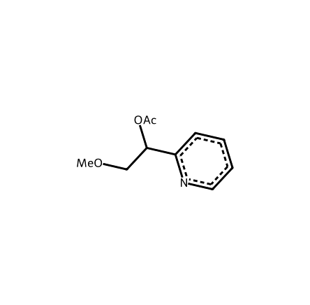 COCC(OC(C)=O)c1ccccn1